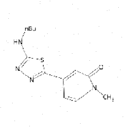 CCCCNc1nnc(-c2ccn(C)c(=O)c2)s1